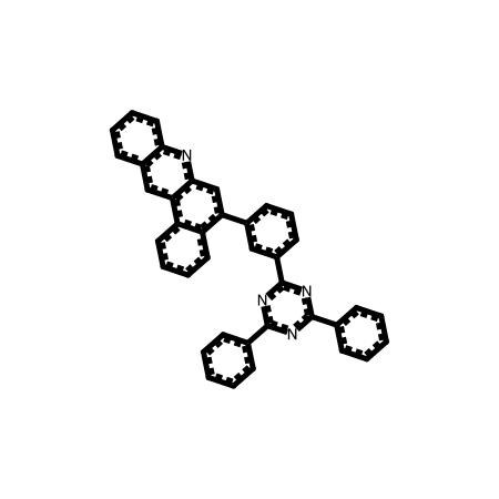 c1ccc(-c2nc(-c3ccccc3)nc(-c3cccc(-c4cc5nc6ccccc6cc5c5ccccc45)c3)n2)cc1